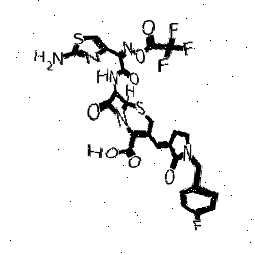 Nc1nc(/C(=N/OC(=O)C(F)(F)F)C(=O)N[C@@H]2C(=O)N3C(C(=O)O)=C(/C=C4\CCN(Cc5ccc(F)cc5)C4=O)CS[C@H]23)cs1